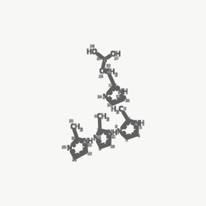 Cc1ncc[nH]1.Cc1ncc[nH]1.Cc1ncc[nH]1.Cc1ncc[nH]1.OB(O)O